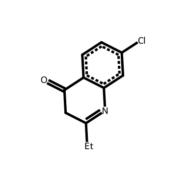 CCC1=Nc2cc(Cl)ccc2C(=O)C1